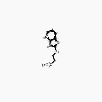 CCOC(=O)CCSc1nc2cccnc2s1